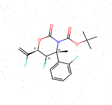 C=C(F)[C@H]1OC(=O)N(C(=O)OC(C)(C)C)[C@](C)(c2ccccc2F)[C@H]1F